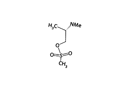 CN[C@@H](C)COS(C)(=O)=O